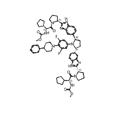 COC(=O)N[C@H](C(=O)N1CCC[C@H]1c1nc2cc([C@H]3CC[C@H](c4ccc5[nH]c([C@@H]6CCCN6C(=O)[C@@H](NC(=O)OC)C6CCCC6)nc5c4)N3c3cc(F)c(N4CCC(c5ccccc5)CC4)c(F)c3)ccc2[nH]1)C1CCCC1